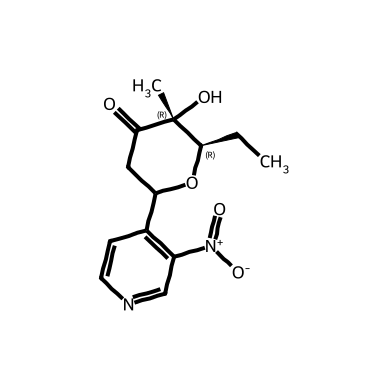 CC[C@H]1OC(c2ccncc2[N+](=O)[O-])CC(=O)[C@]1(C)O